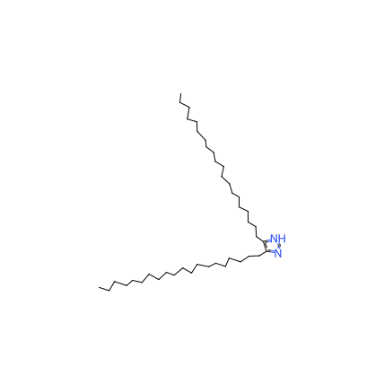 CCCCCCCCCCCCCCCCCCCCc1nc[nH]c1CCCCCCCCCCCCCCCCCCCC